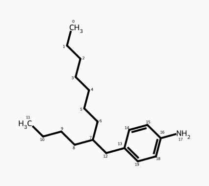 CCCCCCCC(CCCC)Cc1ccc(N)cc1